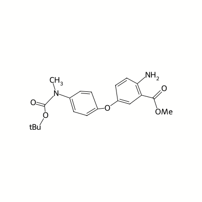 COC(=O)c1cc(Oc2ccc(N(C)C(=O)OC(C)(C)C)cc2)ccc1N